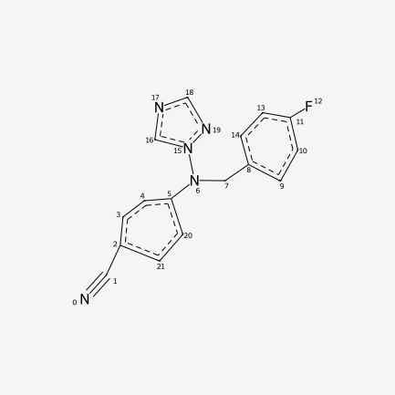 N#Cc1ccc(N(Cc2ccc(F)cc2)n2cncn2)cc1